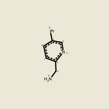 CC(C)c1[c]nc(CN)cc1